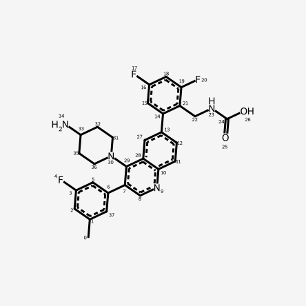 Cc1cc(F)cc(-c2cnc3ccc(-c4cc(F)cc(F)c4CNC(=O)O)cc3c2N2CCC(N)CC2)c1